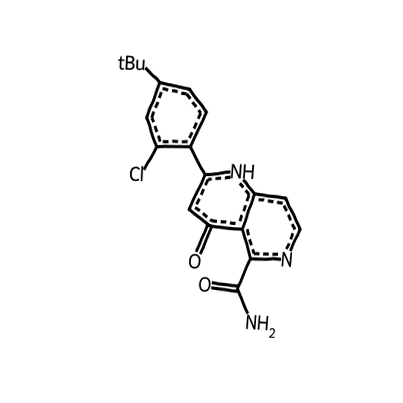 CC(C)(C)c1ccc(-c2cc(=O)c3c(C(N)=O)nccc3[nH]2)c(Cl)c1